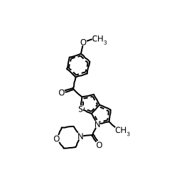 COc1ccc(C(=O)c2cc3cc(C)n(C(=O)N4CCOCC4)c3s2)cc1